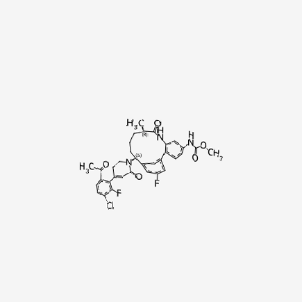 COC(=O)Nc1ccc2c(c1)NC(=O)[C@H](C)CCC[C@H](N1CCC(c3c(C(C)=O)ccc(Cl)c3F)=CC1=O)c1cc(F)cc-2c1